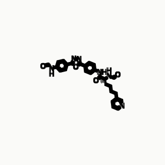 O=CNc1ccc(-c2nnc(-c3ccc(NC(=O)[C@H](CCCCc4cccnc4)NC=O)cc3)o2)cc1